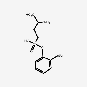 CCCCc1ccccc1OP(=O)(O)CCC(N)C(=O)O